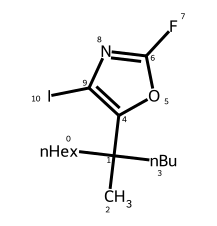 CCCCCCC(C)(CCCC)c1oc(F)nc1I